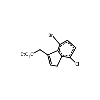 CCOC(=O)CC1=CCc2c(Cl)ccc(Br)c21